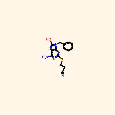 N#CCCSc1nc(N)c2nc(O)n(Cc3ccccc3)c2n1